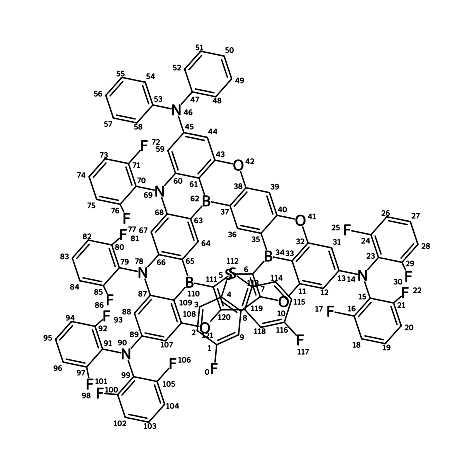 Fc1ccc2sc3c(c2c1)Oc1cc(N(c2c(F)cccc2F)c2c(F)cccc2F)cc2c1B3c1cc3c(cc1O2)Oc1cc(N(c2ccccc2)c2ccccc2)cc2c1B3c1cc3c(cc1N2c1c(F)cccc1F)N(c1c(F)cccc1F)c1cc(N(c2c(F)cccc2F)c2c(F)cccc2F)cc2c1B3c1sc3ccc(F)cc3c1O2